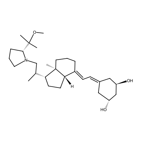 COC(C)(C)[C@H]1CCCN1CC(C)[C@H]1CC[C@H]2/C(=C/C=C3C[C@@H](O)C[C@H](O)C3)CCC[C@]12C